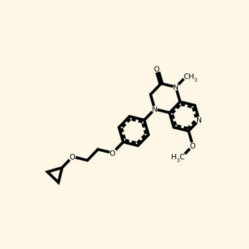 COc1cc2c(cn1)N(C)C(=O)CN2c1ccc(OCCOC2CC2)cc1